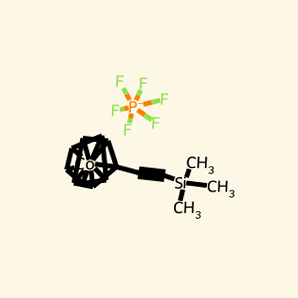 C[Si](C)(C)C#C[C]12[CH]3[CH]4[CH]5[CH]1[Co]45321678[CH]2[CH]1[CH]6[CH]7[CH]28.F[P-](F)(F)(F)(F)F